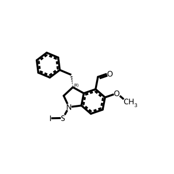 COc1ccc2c(c1C=O)[C@@H](Cc1ccccc1)CN2SI